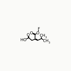 CC(C)C=C(CC(=O)O)C(=O)OF